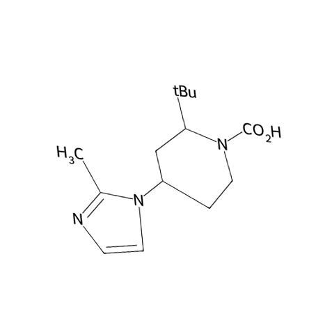 Cc1nccn1C1CCN(C(=O)O)C(C(C)(C)C)C1